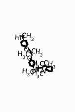 CNc1ccc(OCC(C)(C)COc2ccc(N(C)/N=C/C3=[N+](C)c4ccccc4C3(C)C)cc2)cc1